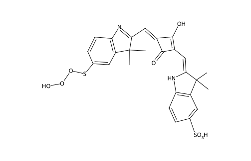 CC1(C)C(C=C2C(=O)C(C=C3Nc4ccc(S(=O)(=O)O)cc4C3(C)C)=C2O)=Nc2ccc(SOOO)cc21